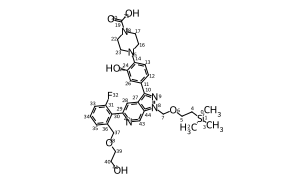 C[Si](C)(C)CCOCn1nc(-c2ccc(N3CCN(C(=O)O)CC3)c(O)c2)c2cc(-c3c(F)cccc3COCCO)ncc21